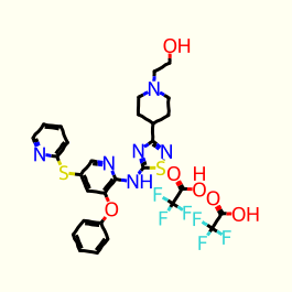 O=C(O)C(F)(F)F.O=C(O)C(F)(F)F.OCCN1CCC(c2nsc(Nc3ncc(Sc4ccccn4)cc3Oc3ccccc3)n2)CC1